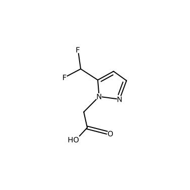 O=C(O)Cn1nccc1C(F)F